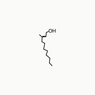 CCCCCCCCC(C)=CCO